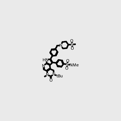 CNS(=O)(=O)c1ccc(-c2c(-c3ccc(CN4CCC(S(C)(=O)=O)CC4)cc3)[nH]c3ncc4c(c23)CN(C(C)(C)C)C(=O)N4C)cc1